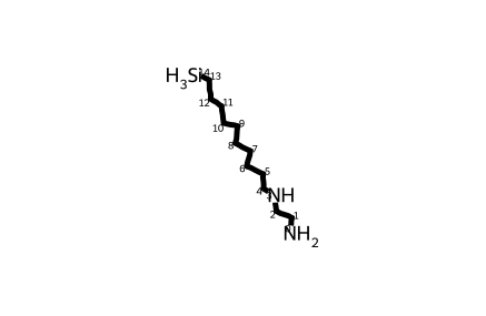 NCCNCCCCCCCCCC[SiH3]